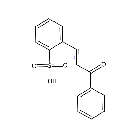 O=C(/C=C/c1ccccc1S(=O)(=O)O)c1ccccc1